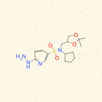 CC1(C)OCC(CN(C2CCCC2)S(=O)(=O)c2ccc(NN)nc2)O1